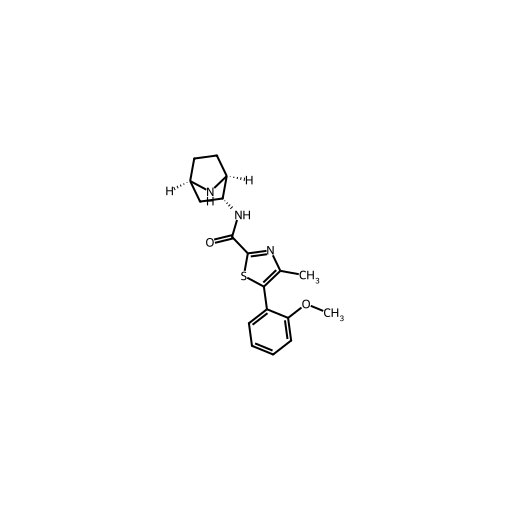 COc1ccccc1-c1sc(C(=O)N[C@@H]2C[C@H]3CC[C@@H]2N3)nc1C